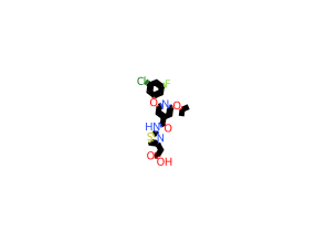 CC(C)Oc1cc(C(=O)Nc2nc(CC(=O)O)cs2)cc(Oc2cc(F)cc(Cl)c2)n1